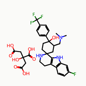 CN(C)CC1CC2(CCC1(O)c1ccc(C(F)(F)F)cc1)NCCc1c2[nH]c2cc(F)ccc12.O=C(O)CC(O)(CC(=O)O)C(=O)O